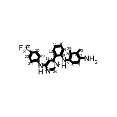 Cc1c(N)ccc(Nc2ccccc2-c2cc(Nc3ccc(C(F)(F)F)cc3)ncn2)c1C